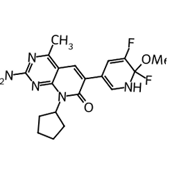 COC1(F)NC=C(c2cc3c(C)nc(N)nc3n(C3CCCC3)c2=O)C=C1F